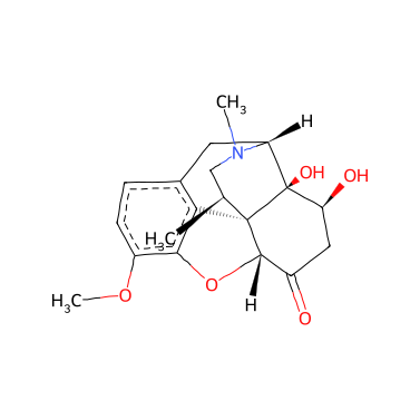 COc1ccc2c3c1O[C@H]1C(=O)C[C@H](O)[C@@]4(O)[C@@H](C2)N(C)C[C@H](C)[C@]314